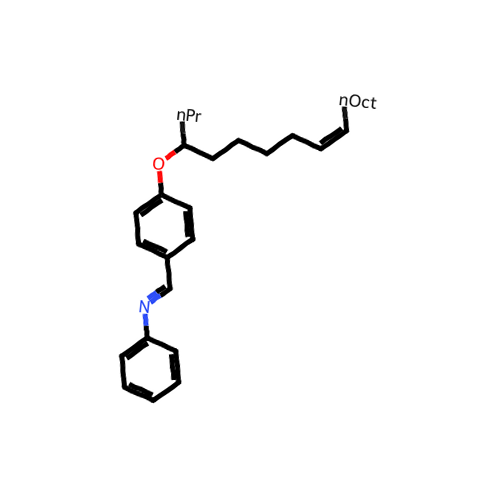 CCCCCCCC/C=C\CCCCC(CCC)Oc1ccc(C=Nc2ccccc2)cc1